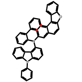 c1ccc(-c2ccccc2N(c2ccc3c(ccc4oc5ccccc5c43)c2)c2cccc3c2c2ccccc2n3-c2ccccc2)cc1